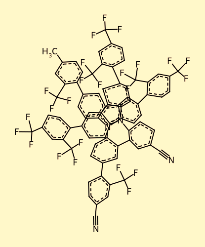 Cc1ccc(-c2ccc3c(c2)c2cc(-c4ccc(C(F)(F)F)cc4C(F)(F)F)ccc2n3-c2ccc(-c3ccc(C#N)cc3C(F)(F)F)cc2-c2cc(C#N)ccc2-n2c3ccc(-c4ccc(C(F)(F)F)cc4C(F)(F)F)cc3c3cc(-c4ccc(C(F)(F)F)cc4C(F)(F)F)ccc32)c(C(F)(F)F)c1